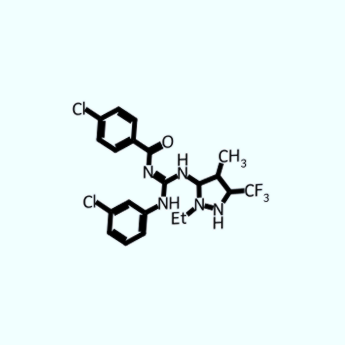 CCN1NC(C(F)(F)F)C(C)C1N/C(=N\C(=O)c1ccc(Cl)cc1)Nc1cccc(Cl)c1